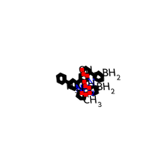 Bc1ccc(N(c2cc(C)cc(-c3cc(C4=CCCCC4)ccc3N)c2C2=CC=C(C)CC2)c2c(B)ccc3c2C(C)(C)c2ccccc2-3)c(-c2ccccc2)c1